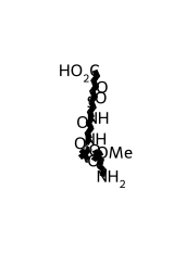 COC1(CCCN)OCC(C)(C)[C@H](C(=O)NCCC(=O)NCCSC(=O)CC(=O)CCC(=O)O)O1